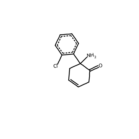 NC1(c2ccccc2Cl)CC=CCC1=O